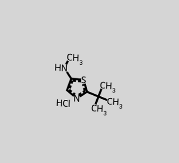 CNc1cnc(C(C)(C)C)s1.Cl